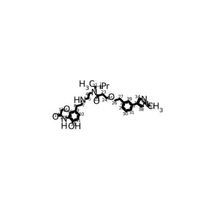 CC(C)[C@@H](C)N(CCNCCc1ccc(O)c2c1OCC(=O)N2)C(=O)CCOCCc1cccc(-c2cnn(C)c2)c1